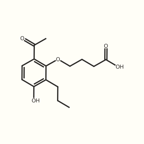 CCCc1c(O)ccc(C(C)=O)c1OCCCC(=O)O